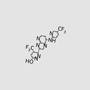 Oc1cc(C(F)(F)F)c(-c2cnc3c(Nc4ccc(C(F)(F)F)cn4)ccnc3n2)nn1